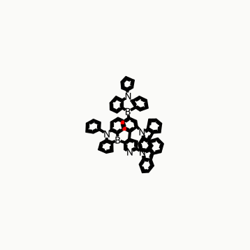 c1ccc(N2c3ccccc3B(c3ccc(-c4cc(-n5c6ccccc6c6ccccc65)ncc4B4c5ccccc5N(c5ccccc5)c5ccccc54)c(-n4c5ccccc5c5ccccc54)c3)c3ccccc32)cc1